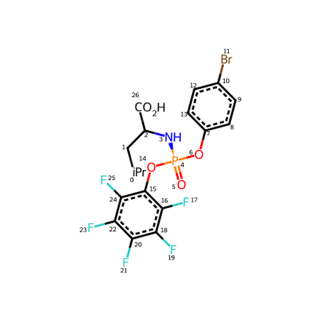 CC(C)CC(N[P@](=O)(Oc1ccc(Br)cc1)Oc1c(F)c(F)c(F)c(F)c1F)C(=O)O